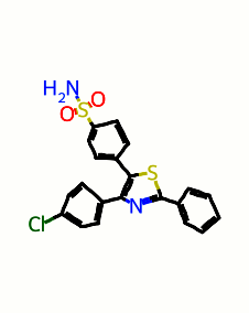 NS(=O)(=O)c1ccc(-c2sc(-c3ccccc3)nc2-c2ccc(Cl)cc2)cc1